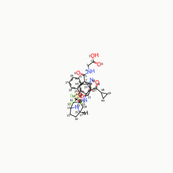 O=C(O)CNC(=O)c1ccc2nc(N3C4CC[C@H]3CC(OCc3c(-c5ccccc5OC(F)(F)F)noc3C3CC3)C4)sc2c1